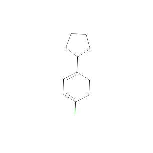 ClC1=CC=C(C2CCCC2)CC1